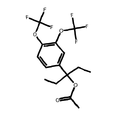 CCC(CC)(OC(C)=O)c1ccc(OC(F)(F)F)c(OC(F)(F)F)c1